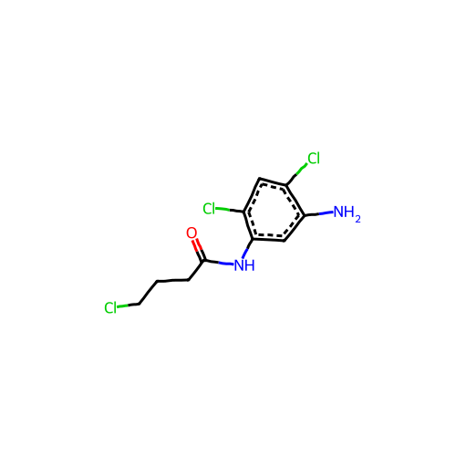 Nc1cc(NC(=O)CCCCl)c(Cl)cc1Cl